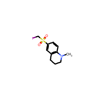 CN1CCCc2cc(S(=O)(=O)CI)ccc21